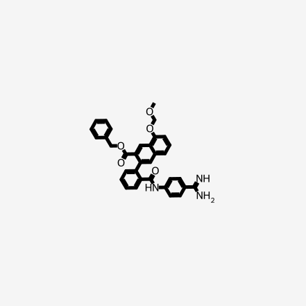 COCOc1cccc2cc(-c3ccccc3C(=O)Nc3ccc(C(=N)N)cc3)c(C(=O)OCc3ccccc3)cc12